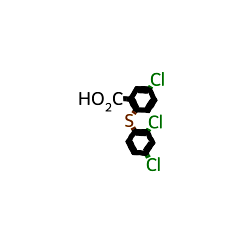 O=C(O)c1cc(Cl)ccc1Sc1ccc(Cl)cc1Cl